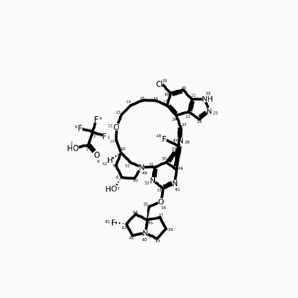 O=C(O)C(F)(F)F.O[C@@H]1C[C@H]2COCCCCc3c(Cl)cc4[nH]ncc4c3-c3ncc4c(nc(OC[C@@]56CCCN5C[C@H](F)C6)nc4c3F)N(C1)C2